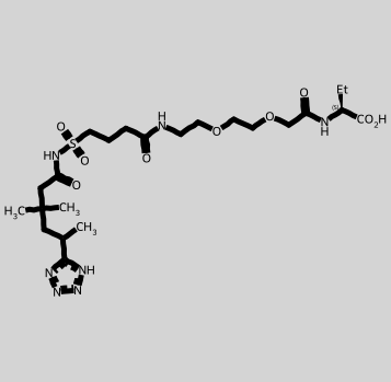 CC[C@H](NC(=O)COCCOCCNC(=O)CCCS(=O)(=O)NC(=O)CC(C)(C)CC(C)c1nnn[nH]1)C(=O)O